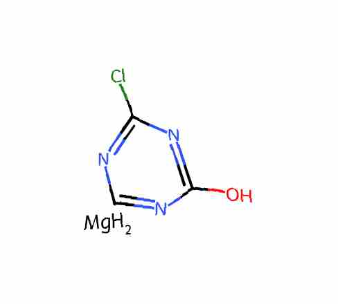 Oc1ncnc(Cl)n1.[MgH2]